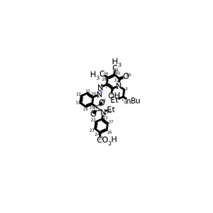 CCCCC(CC)Cn1c(O)c(/N=N/c2ccccc2S(=O)(=O)N(CC)c2ccc(C(=O)O)cc2)c(C)c(C)c1=O